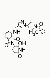 CC1(C(=O)N2CCC(n3cc(CNc4cccc5c4C(=O)N(C4CCC(=O)NC4O)C5=O)cn3)CC2)CCC1